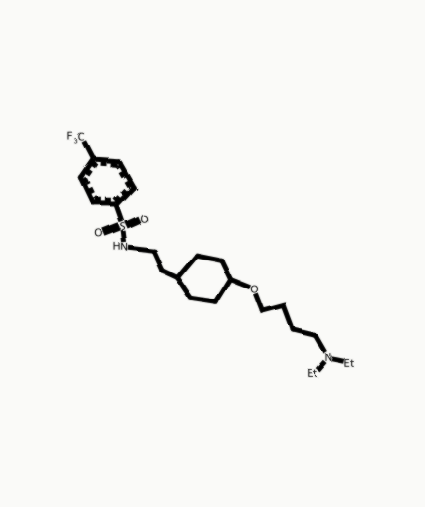 CCN(CC)CCCCOC1CCC(CCNS(=O)(=O)c2ccc(C(F)(F)F)cc2)CC1